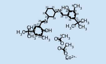 CC(=O)[O-].CC(=O)[O-].Cc1cc(C(C)(C)C)cc(C=NC2CCCC(N=Cc3cc(C(C)(C)C)cc(C)c3O)C2)c1O.[Co+2]